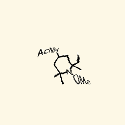 CON1C(C)(C)CC(NC(C)=O)CC1(C)C